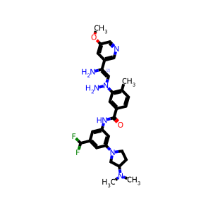 COc1cncc(/C(N)=C/N(N)c2cc(C(=O)Nc3cc(C(F)F)cc(N4CCC(N(C)C)C4)c3)ccc2C)c1